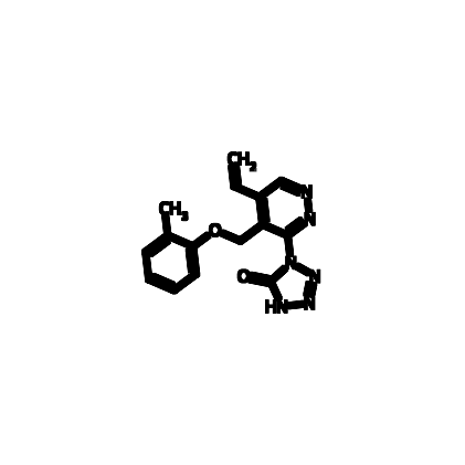 C=Cc1cnnc(-n2nn[nH]c2=O)c1COc1ccccc1C